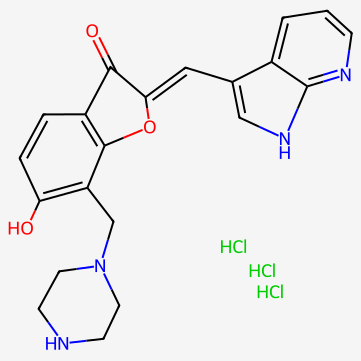 Cl.Cl.Cl.O=C1C(=Cc2c[nH]c3ncccc23)Oc2c1ccc(O)c2CN1CCNCC1